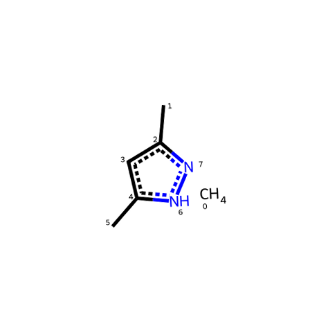 C.Cc1cc(C)[nH]n1